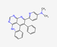 CN(C)c1ccc(-c2nc3ncnc(N)c3c(-c3ccccc3)c2-c2ccccc2)nc1